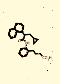 O=C(O)CCCc1ccccc1NC(=O)C(CC1CC1)c1cccc2ccccc12